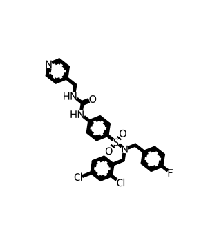 O=C(NCc1ccncc1)Nc1ccc(S(=O)(=O)N(Cc2ccc(F)cc2)Cc2ccc(Cl)cc2Cl)cc1